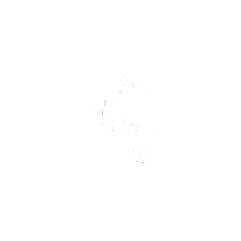 CCOc1cc2ncnc(Nc3ccc(Oc4ccn5ncnc5c4)c(C)c3)c2cc1NC(=O)/C(F)=C/c1cccn1C